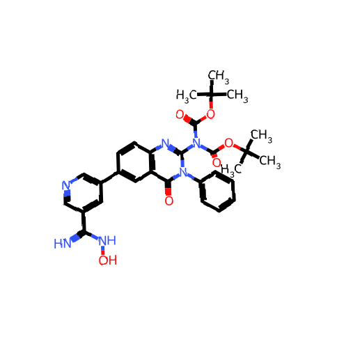 CC(C)(C)OC(=O)N(C(=O)OC(C)(C)C)c1nc2ccc(-c3cncc(C(=N)NO)c3)cc2c(=O)n1-c1ccccc1